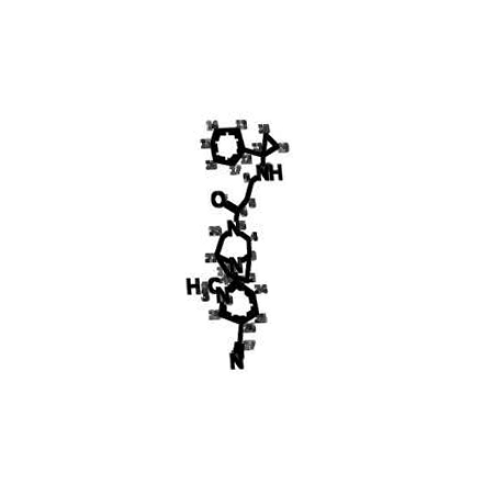 C[C@H]1CC2CN(C(=O)CCNC3(c4ccccc4)CC3)CC1N2c1ccc(C#N)cn1